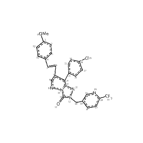 COc1ccc(/C=C/c2cnn3c(=O)n(Cc4ccc(C(F)(F)F)nc4)nc3c2-c2ccc(Cl)cc2)cc1